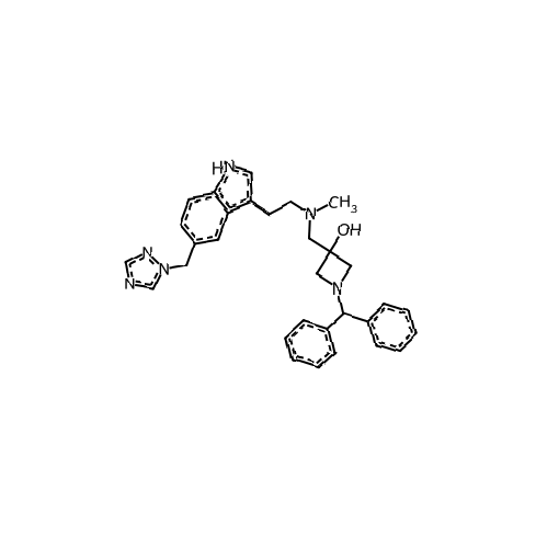 CN(CCc1c[nH]c2ccc(Cn3cncn3)cc12)CC1(O)CN(C(c2ccccc2)c2ccccc2)C1